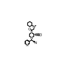 CN(CC(=O)N1CCN(C(C#N)c2cccnc2)CC1)C1CCCCC1.Cl.Cl.Cl